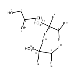 CC(O)CO.O=S(=O)(O)C(F)(F)C(F)F.O=S(=O)(O)C(F)(F)C(F)F